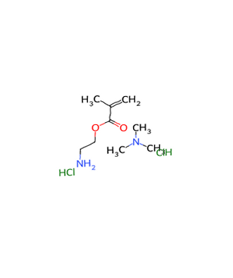 C=C(C)C(=O)OCCN.CN(C)C.Cl.Cl